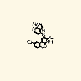 CSc1[nH]c(=O)c(-c2cc(Cl)ccc2F)cc1Nc1ccnc2[nH]ccc12